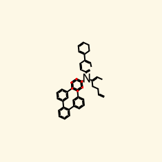 C=CCC/C(=C\C)N(C(=C)/C=C\C(=C/C)C1=CC=CCC1)c1ccc(-c2cccc(-c3ccccc3-c3cccc(-c4ccccc4)c3)c2)cc1